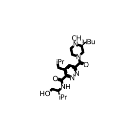 CCC(C)[C@H]1CN(C(=O)c2cc(CC(C)C)c(C(=O)N[C@H](CO)C(C)C)nn2)CCN1C